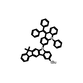 CC(C)(C)c1ccc2c(c1)c1cc3c(cc1n2-c1ccc2c(c1)N(c1ccccc1)c1ccccc1C2=C(c1ccccc1)c1ccccc1)C(C)(C)c1ccccc1-3